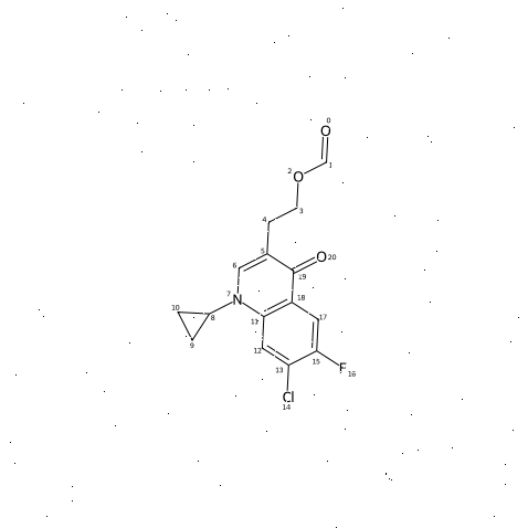 O=COCCc1cn(C2CC2)c2cc(Cl)c(F)cc2c1=O